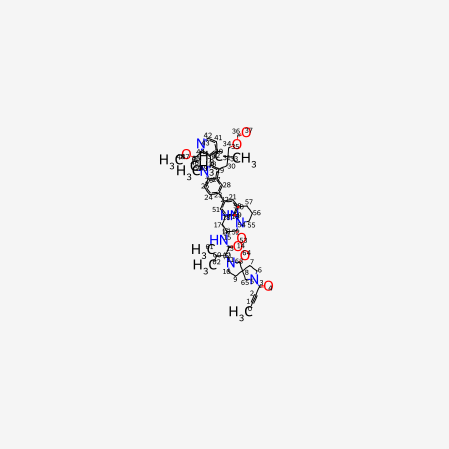 CC#CC(=O)N1CCC2(CCN([C@H](C(=O)N[C@@H](Cc3cccc(-c4ccc5c(c4)c(CC(C)(C)COC=O)c(-c4cccnc4[C@H](C)OC)n5C)c3)C(=O)N3CCCCN3)C(C)C)C2=O)C1